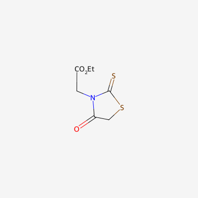 CCOC(=O)CN1C(=O)CSC1=S